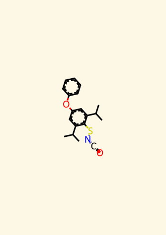 CC(C)c1cc(Oc2ccccc2)cc(C(C)C)c1SN=C=O